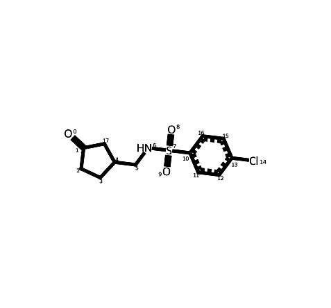 O=C1CCC(CNS(=O)(=O)c2ccc(Cl)cc2)C1